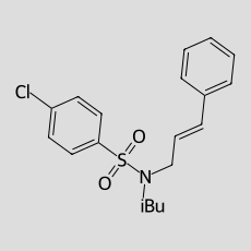 CCC(C)N(CC=Cc1ccccc1)S(=O)(=O)c1ccc(Cl)cc1